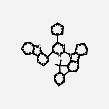 CC1(C)c2ccccc2-c2ccc3c4ccccc4n(-c4nc(-c5ccccc5)cc(-c5cccc6c5oc5ccccc56)n4)c3c21